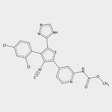 [C-]#[N+]c1c(-c2ccnc(NC(=O)OC)c2)sc(-c2nnc[nH]2)c1-c1ccc(Cl)cc1Cl